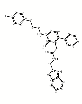 O=C(Cn1c(-c2ccccc2)ncc(NCCCc2ccc(F)cc2)c1=O)NCc1cc2cnccc2[nH]1